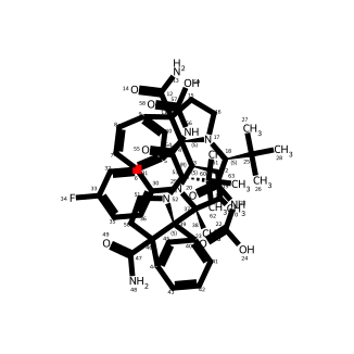 CC1C[C@H]([C@]23c4cccc(c4)C2(C(N)=O)CCN3[C@H](C(=O)NC(=O)O)C(C)(C)C)N(c2ccc(F)cc2)[C@@]1(C)[C@]12c3cccc(c3)C1(C(N)=O)CCN2[C@H](C(=O)NC(=O)O)C(C)(C)C